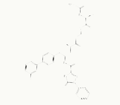 COC(=O)N[C@H](C(=O)OCOC(=O)[C@H](O)C[C@@H](Cc1ccc(-c2cccc(Cl)c2)cc1)NC(=O)c1nn(-c2ccccc2)c(=O)[nH]1)C(C)C